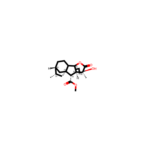 COC(=O)[C@H]1[C@@H]2[C@@]3(C)C(=O)O[C@@]2(CC[C@@H]3O)C2CC[C@@H]3C[C@@]21C[C@@H]3C